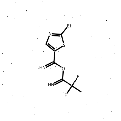 CCc1ncc(C(=N)OC(=N)C(C)(F)F)s1